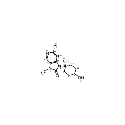 Cn1c(=O)n(C2(C)CCC(O)CC2)c2nc(Cl)ncc21